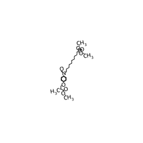 CCOC(=O)C(C)COc1ccc(N(C=O)CCCCCCCCCCP(=O)(OCC)OCC)cc1